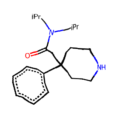 CC(C)N(C(=O)C1(c2ccccc2)CCNCC1)C(C)C